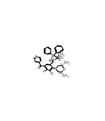 C[C@@H]1CN(c2c(CO[Si](c3ccccc3)(c3ccccc3)C(C)(C)C)cc(C(=O)c3ccnnc3)c(F)c2Cl)C[C@H](C)O1